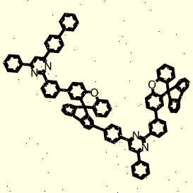 c1ccc(-c2ccc(-c3cc(-c4ccccc4)nc(-c4cccc(-c5ccc6c(c5)C5(c7ccccc7O6)c6ccccc6-c6ccc(-c7ccc(-c8cc(-c9ccccc9)nc(-c9cccc(-c%10ccc%11c(c%10)C%10(c%12ccccc%12O%11)c%11ccccc%11-c%11ccccc%11%10)c9)n8)cc7)cc65)c4)n3)cc2)cc1